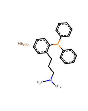 Br.Br.CN(C)CCCc1ccccc1P(c1ccccc1)c1ccccc1